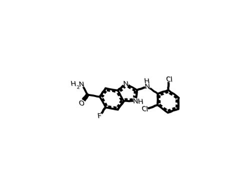 NC(=O)c1cc2nc(Nc3c(Cl)cccc3Cl)[nH]c2cc1F